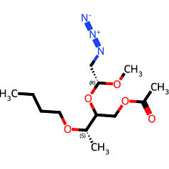 CCCCO[C@@H](C)C(COC(C)=O)O[C@H](CN=[N+]=[N-])OC